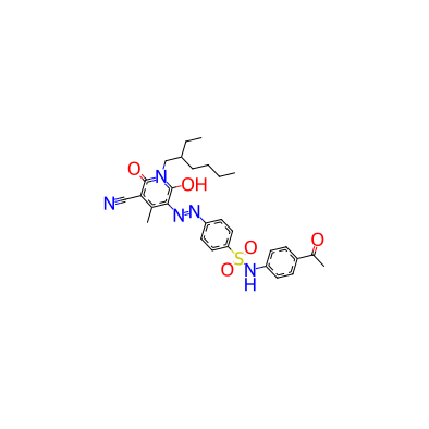 CCCCC(CC)Cn1c(O)c(/N=N/c2ccc(S(=O)(=O)Nc3ccc(C(C)=O)cc3)cc2)c(C)c(C#N)c1=O